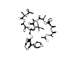 CC(=O)OC(C)C(=O)OC(C)C(=O)C[C@H](COc1nsnc1N1CCOCC1)CN(C(=O)C(C)OC(=O)C(C)OC(=O)C(C)OC(=O)C(C)OC(C)=O)C(C)(C)C